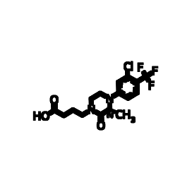 C[C@H]1C(=O)N(CCCC(=O)O)CCN1c1ccc(C(F)(F)F)c(Cl)c1